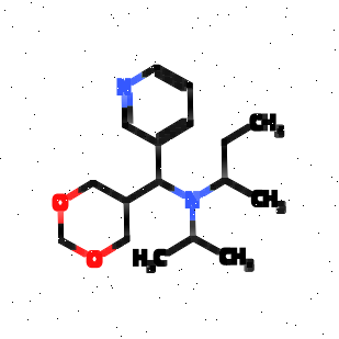 CCC(C)N(C(C)C)C(c1cccnc1)C1COCOC1